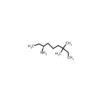 CC[C@H](N)CCCC(C)(C)CC